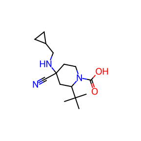 CC(C)(C)C1CC(C#N)(NCC2CC2)CCN1C(=O)O